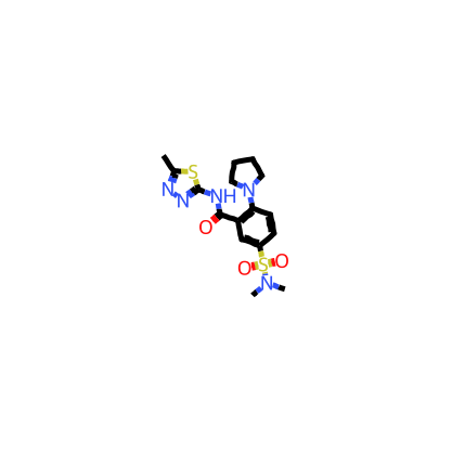 Cc1nnc(NC(=O)c2cc(S(=O)(=O)N(C)C)ccc2N2CCCC2)s1